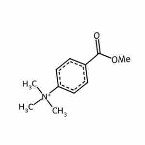 COC(=O)c1ccc([N+](C)(C)C)cc1